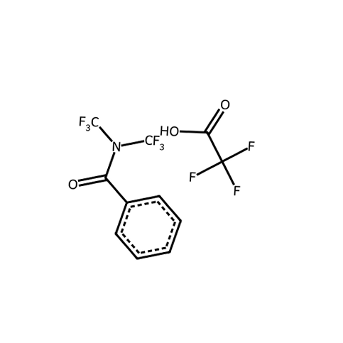 O=C(O)C(F)(F)F.O=C(c1ccccc1)N(C(F)(F)F)C(F)(F)F